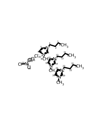 CCCC[n+]1ccn(C)c1.CCCC[n+]1ccn(C)c1.CCCC[n+]1ccn(C)c1.[Cl-].[Cl-].[Cl-].[Cl][Ni]([Cl])[Cl]